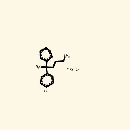 CCCCC(C)(c1ccccc1)c1ccccc1.[Cr].[Cr].[Cr].[Cr]